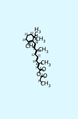 CCC(=O)OC(=O)/C=C(C)/C=C/C=C(C)/C=C/C1=C(C)CCCC1(C)C